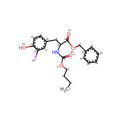 CCCCOC(=O)NC(Cc1ccc(O)c(I)c1)C(=O)OCc1ccccc1